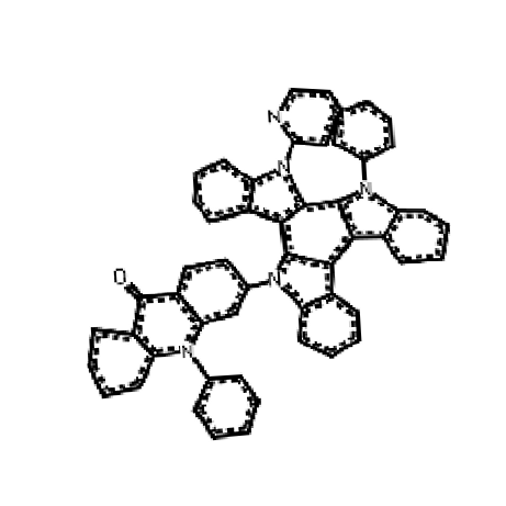 O=c1c2ccccc2n(-c2ccccc2)c2cc(-n3c4ccccc4c4c5c6ccccc6n(-c6cccnc6)c5c5c(c6ccccc6n5-c5ccccn5)c43)ccc12